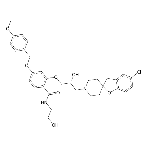 COc1ccc(COc2ccc(C(=O)NCCO)c(OC[C@H](O)CN3CCC4(CC3)Cc3cc(Cl)ccc3O4)c2)cc1